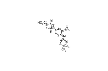 O=C(O)N1C[C@H]2C[C@@H]1CN2c1ccc(Nc2ncc(C(F)(F)F)c(Cl)n2)c(C2CC2)n1